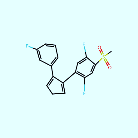 CS(=O)(=O)c1cc(F)c(C2=CCC=C2c2cccc(F)c2)cc1F